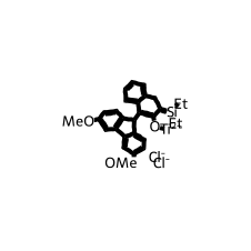 CC[Si](CC)=C1Cc2ccccc2C(C2c3ccc(OC)cc3-c3cc(OC)ccc32)=C1[O][Ti+2].[Cl-].[Cl-]